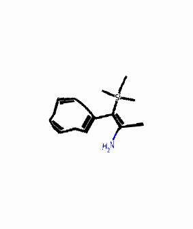 CC(N)=C(c1ccccc1)[Si](C)(C)C